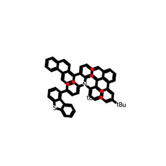 CC(C)(C)c1cc(-c2cccc3cccc(-c4ccccc4N(c4ccc(-c5cccc6sc7ccccc7c56)cc4)c4ccccc4-c4cccc5c4ccc4ccccc45)c23)cc(C(C)(C)C)c1